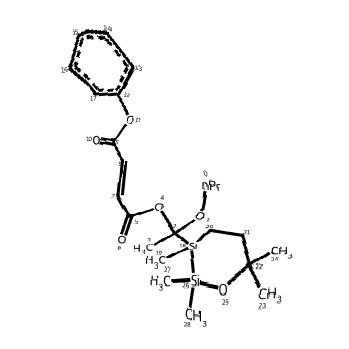 CCCOC(C)(OC(=O)C=CC(=O)Oc1ccccc1)[Si]1(C)CCC(C)(C)O[Si]1(C)C